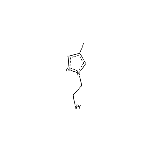 Cc1[c]nn(CCC(C)C)c1